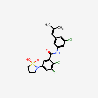 CC(C)=Cc1cc(Cl)cc(NC(=O)c2cc(N3CCCS3(O)O)cc(Cl)c2Cl)c1